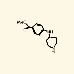 COC(=O)c1ccc(NC2CCNCC2)cc1